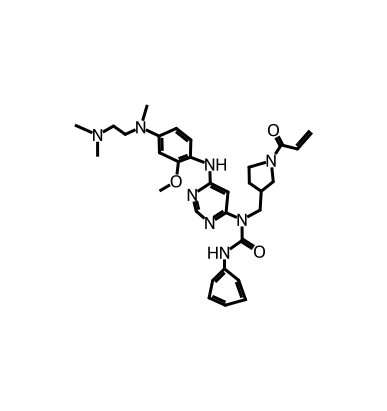 C=CC(=O)N1CCC(CN(C(=O)Nc2ccccc2)c2cc(Nc3ccc(N(C)CCN(C)C)cc3OC)ncn2)C1